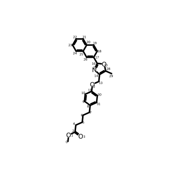 COC(=O)CCCCc1ccc(OCc2nc(-c3ccc4ccccc4c3)oc2C)cc1